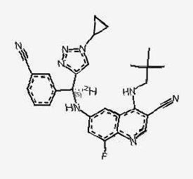 [2H][C@](Nc1cc(F)c2ncc(C#N)c(NCC(C)(C)C)c2c1)(c1cccc(C#N)c1)c1cn(C2CC2)nn1